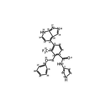 O=C(Nc1cc[nH]n1)c1ccc(-c2cc[nH]c3nncc2-3)c(C(F)(F)F)c1COc1ccccc1